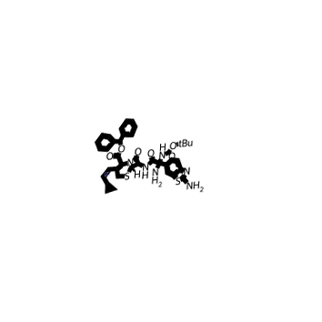 CC(C)(C)OC(=O)NC(N)(C(=O)NC1C(=O)N2C(C(=O)OC(c3ccccc3)c3ccccc3)=C(/C=C\C3CC3)CS[C@@H]12)c1ccc2nc(N)sc2c1